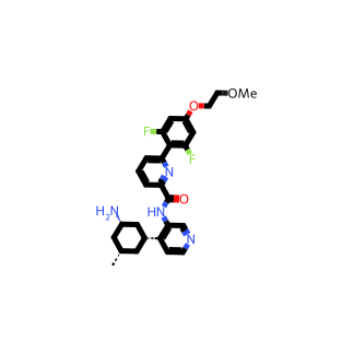 COCCOc1cc(F)c(-c2cccc(C(=O)Nc3cnccc3[C@@H]3C[C@H](C)C[C@H](N)C3)n2)c(F)c1